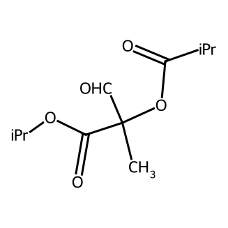 CC(C)OC(=O)C(C)(C=O)OC(=O)C(C)C